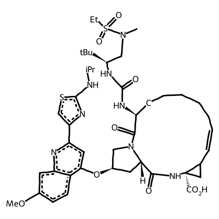 CCS(=O)(=O)N(C)C[C@@H](NC(=O)N[C@H]1CCCCC/C=C\C2C[C@@]2(C(=O)O)NC(=O)[C@@H]2C[C@@H](Oc3cc(-c4csc(NC(C)C)n4)nc4cc(OC)ccc34)CN2C1=O)C(C)(C)C